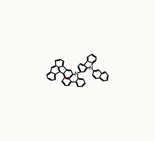 c1ccc(-c2ccccc2N(c2ccc3c(c2)-c2cccc4cc5ccccc5c-3c24)c2ccc3c4ccccc4n(-c4ccc5ccccc5c4)c3c2)cc1